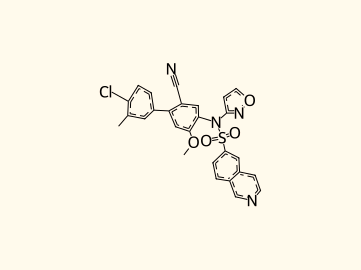 COc1cc(-c2ccc(Cl)c(C)c2)c(C#N)cc1N(c1ccon1)S(=O)(=O)c1ccc2cnccc2c1